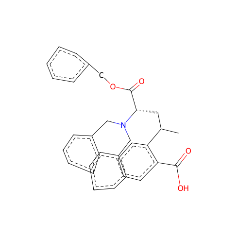 CC(C[C@@H](C(=O)OCc1ccccc1)N(Cc1ccccc1)Cc1ccccc1)c1ccccc1C(=O)O